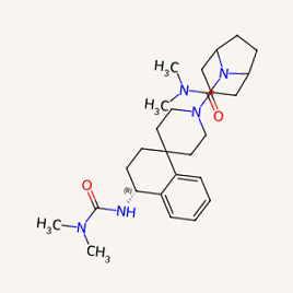 CN(C)C(=O)N[C@@H]1CCC2(CCN(C3CC4CCC(C3)N4C(=O)N(C)C)CC2)c2ccccc21